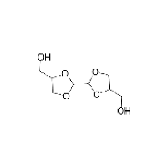 OCC1COC(C2OCC(CO)O2)O1